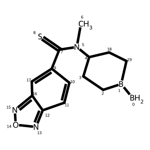 BB1CCC(N(C)C(=S)c2ccc3nonc3c2)CC1